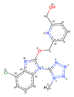 Cn1nnnc1-n1c(OCc2cccc(CO)n2)nc2c(Cl)cccc21